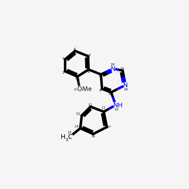 COc1ccccc1-c1cc(Nc2c[c]c(C)cc2)ncn1